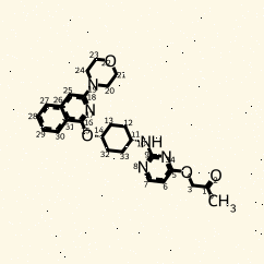 CC(=O)COc1ccnc(N[C@H]2CC[C@@H](Oc3nc(N4CCOCC4)cc4ccccc34)CC2)n1